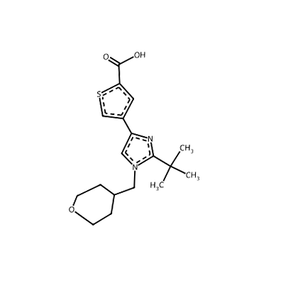 CC(C)(C)c1nc(-c2csc(C(=O)O)c2)cn1CC1CCOCC1